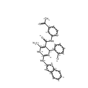 CC(=O)c1ccnc(NC(=O)C2=C(C)NC(Nc3nc4ccccc4o3)=NC2c2ccccc2Cl)c1